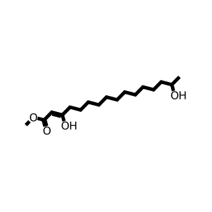 COC(=O)C=C(O)CCCCCCCCCCCC(C)O